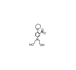 O=[N+]([O-])c1cc(N(CCO)CCO)ccc1N1CCCCC1